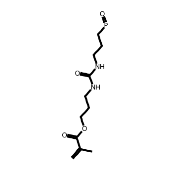 C=C(C)C(=O)OCCCNC(=O)NCCCP=O